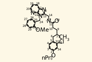 CCCOc1ccc(CC(C)CCC(=O)[N]Cc2nc3cccnc3n2Cc2ccccc2OC)c(Cl)c1